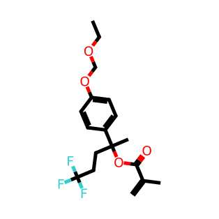 C=C(C)C(=O)OC(C)(CCC(F)(F)F)c1ccc(OCOCC)cc1